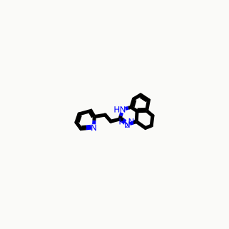 NC12CCCc3cccc(c31)NC(CCc1ccccn1)=N2